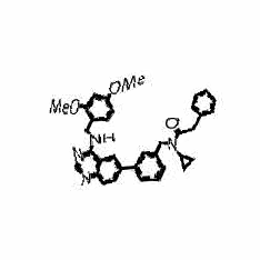 COc1ccc(CNc2ncnc3ccc(-c4cccc(CN(C(=O)Cc5ccccc5)C5CC5)c4)cc23)c(OC)c1